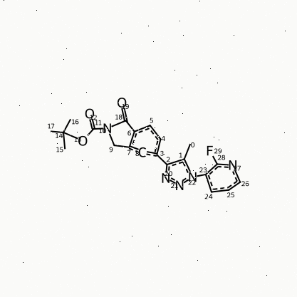 Cc1c(-c2ccc3c(c2)CN(C(=O)OC(C)(C)C)C3=O)nnn1-c1cccnc1F